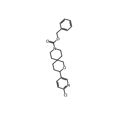 O=C(OCc1ccccc1)N1CCC2(CCC(c3ccc(Cl)nc3)OC2)CC1